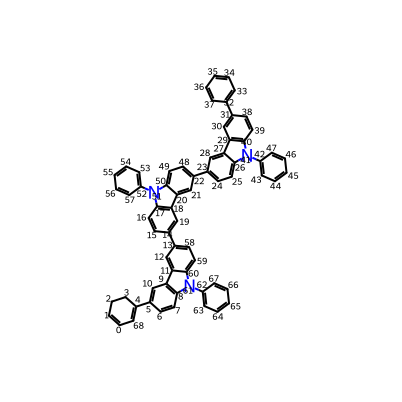 C1=CCCC(c2ccc3c(c2)c2cc(-c4ccc5c(c4)c4cc(-c6ccc7c(c6)c6cc(-c8ccccc8)ccc6n7-c6ccccc6)ccc4n5-c4ccccc4)ccc2n3-c2ccccc2)=C1